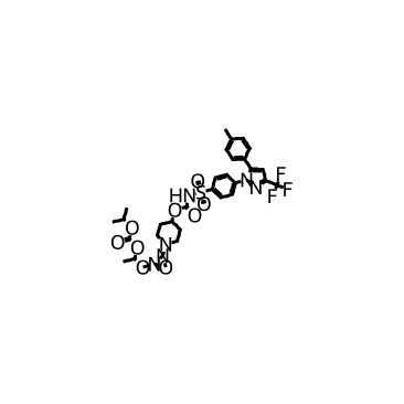 Cc1ccc(-c2cc(C(F)(F)F)nn2-c2ccc(S(=O)(=O)NC(=O)OC3CCN(n4on4OC(C)OC(=O)OC(C)C)CC3)cc2)cc1